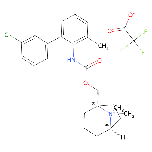 Cc1cccc(-c2cccc(Cl)c2)c1NC(=O)OC[C@]12CCC[C@H](CC1)[N+]2(C)C.O=C([O-])C(F)(F)F